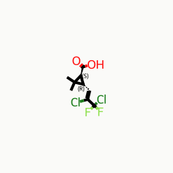 CC1(C)[C@@H](C=C(Cl)C(F)(F)Cl)[C@@H]1C(=O)O